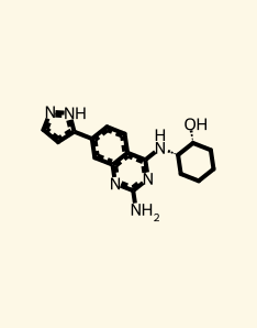 Nc1nc(N[C@H]2CCCC[C@H]2O)c2ccc(-c3ccn[nH]3)cc2n1